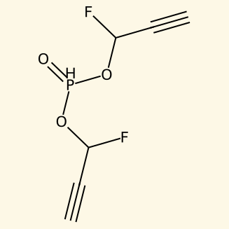 C#CC(F)O[PH](=O)OC(F)C#C